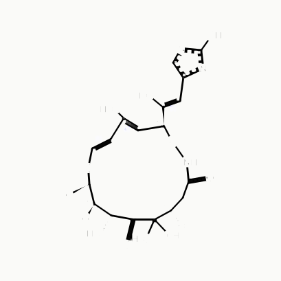 CC1=C\[C@@H](/C(C)=C/c2csc(C)n2)CNC(=O)C[C@H](O)C(C)(C)C(=O)[C@H](C)[C@@H](O)[C@@H](C)C\C=C\1